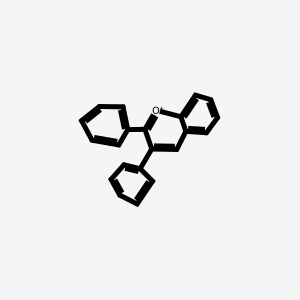 c1ccc(-c2cc3ccccc3[o+]c2-c2ccccc2)cc1